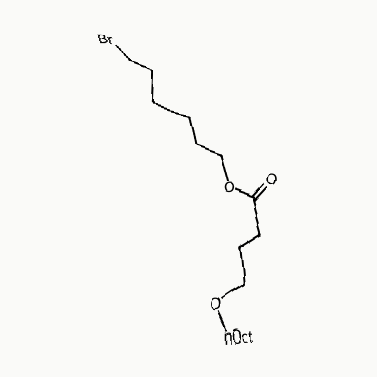 CCCCCCCCOCCCC(=O)OCCCCCCBr